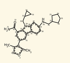 Cc1noc(C)c1-c1cc(C(N)=O)c2c(c1)c1ccc(NCC3CCCC3)cc1n2CC1CC1